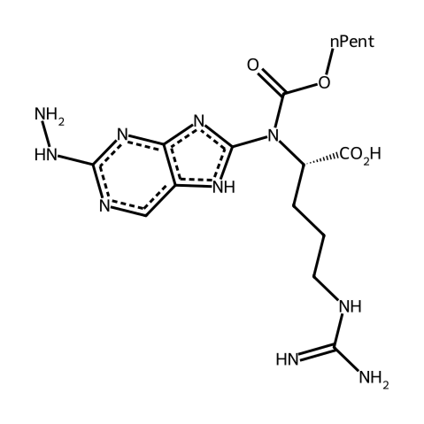 CCCCCOC(=O)N(c1nc2nc(NN)ncc2[nH]1)[C@@H](CCCNC(=N)N)C(=O)O